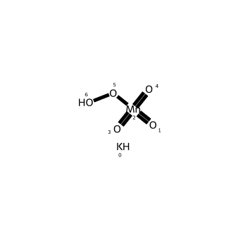 [KH].[O]=[Mn](=[O])(=[O])[O]O